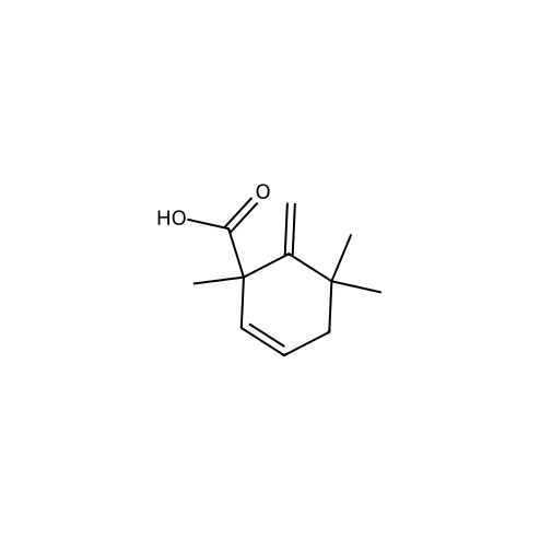 C=C1C(C)(C)CC=CC1(C)C(=O)O